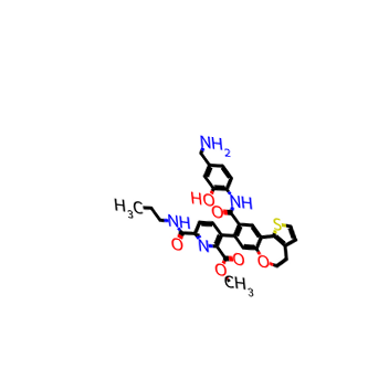 CCCNC(=O)c1ccc(-c2cc3c(cc2C(=O)Nc2ccc(CN)cc2O)-c2sccc2CCO3)c(C(=O)OC)n1